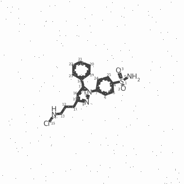 NS(=O)(=O)c1ccc(-n2nc(CCCNCl)cc2-c2ccccc2)cc1